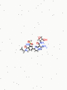 CC(C1CC1)N1Cc2cc(-c3ccn4nc(N)c(C(=O)N[C@@H]5COC[C@H]5O)c4n3)cc(NS(C)(=O)=O)c2C1=O